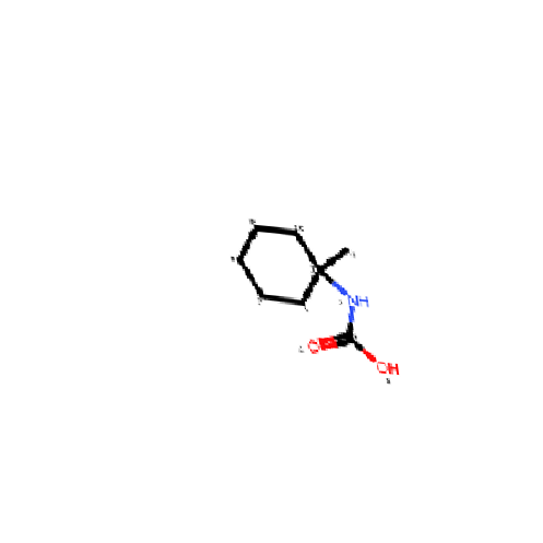 CC1(NC(=O)O)CCCCC1